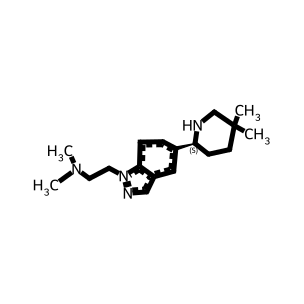 CN(C)CCn1ncc2cc([C@@H]3CCC(C)(C)CN3)ccc21